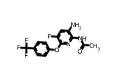 CC(=O)Nc1nc(Oc2ccc(C(F)(F)F)cc2)c(F)cc1N